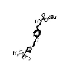 CN(C)C1CN(CCOc2ccc(CCNC(=O)OC(C)(C)C)cc2)C1